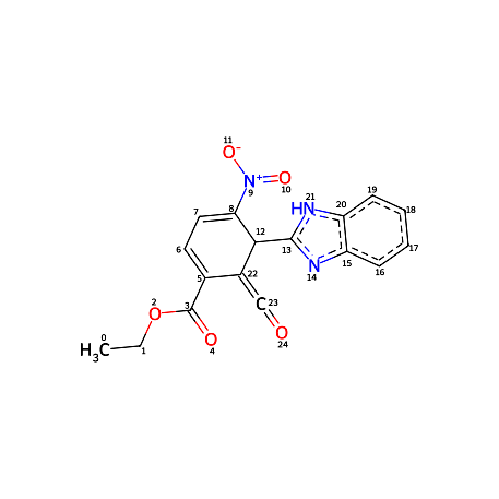 CCOC(=O)C1=CC=C([N+](=O)[O-])C(c2nc3ccccc3[nH]2)C1=C=O